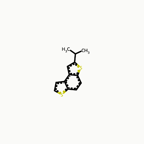 CC(C)c1cc2c(ccc3sccc32)s1